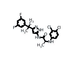 C[C@H](Nc1ccc(Cl)c(Cl)c1)C(=O)Nc1cc(C(C)(C)c2cc(F)cc(F)c2)n[nH]1